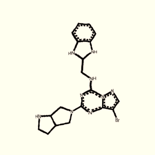 Brc1cnn2c(NCC3Nc4ccccc4N3)nc(N3CC4CCNC4C3)nc12